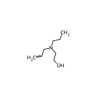 [CH2]CCN(CC=C)CCO